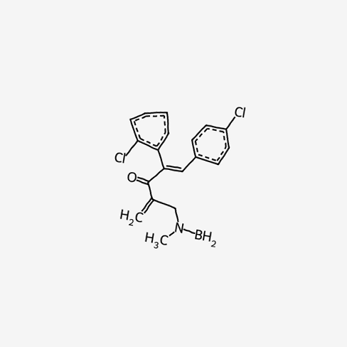 BN(C)CC(=C)C(=O)/C(=C/c1ccc(Cl)cc1)c1ccccc1Cl